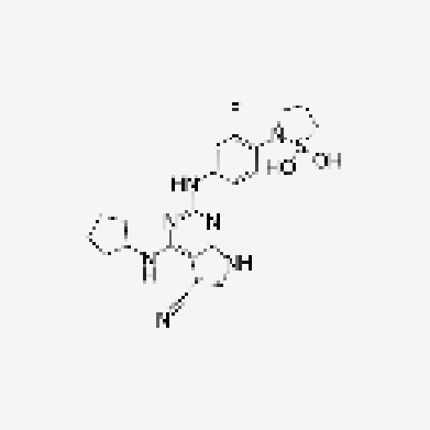 N#Cc1c[nH]c2nc(Nc3ccc(N4CCCS4(O)O)c(F)c3)nc(NC3CCCC3)c12